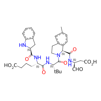 Cc1ccc2c(c1)CCN(C(=O)[C@@H](NC(=O)[C@H](CCCC(=O)O)NC(=O)[C@@H]1Cc3ccccc3N1)C(C)(C)C)[C@@H]2C(=O)N[C@H](C=O)CC(=O)O